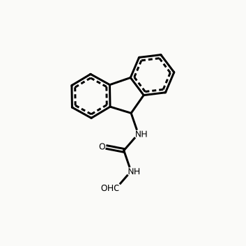 O=CNC(=O)NC1c2ccccc2-c2ccccc21